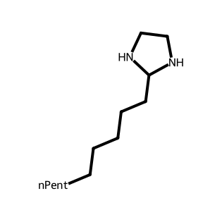 CCCCCCCCCCC1NCCN1